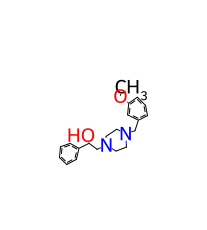 COc1cccc(CN2CCN(CC(O)c3ccccc3)CC2)c1